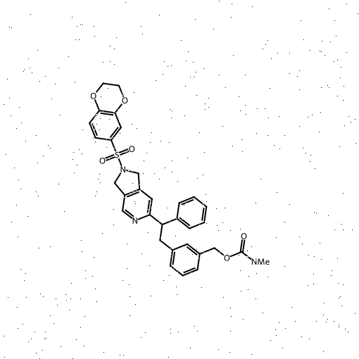 CNC(=O)OCc1cccc(CC(c2ccccc2)c2cc3c(cn2)CN(S(=O)(=O)c2ccc4c(c2)OCCO4)C3)c1